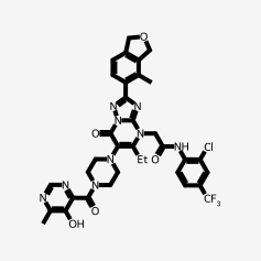 CCc1c(N2CCN(C(=O)c3ncnc(C)c3O)CC2)c(=O)n2nc(-c3ccc4c(c3C)COC4)nc2n1CC(=O)Nc1ccc(C(F)(F)F)cc1Cl